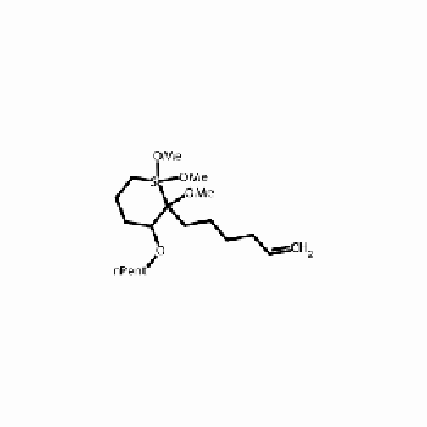 C=CCCCCC1(OC)C(OCCCCC)CCC[Si]1(OC)OC